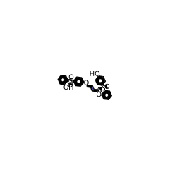 O=S(=O)(c1ccc(OC/C=C/COc2ccccc2S(=O)(=O)c2ccc(O)cc2)cc1)c1ccccc1O